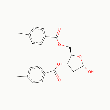 Cc1ccc(C(=O)OC[C@H]2O[C@H](O)C[C@@H]2OC(=O)c2ccc(C)cc2)cc1